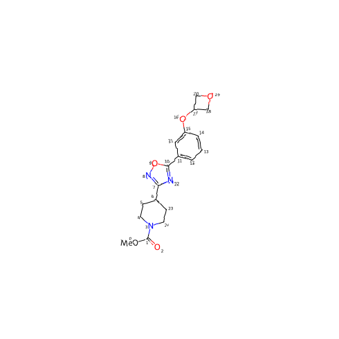 COC(=O)N1CCC(c2noc(-c3cccc(OC4COC4)c3)n2)CC1